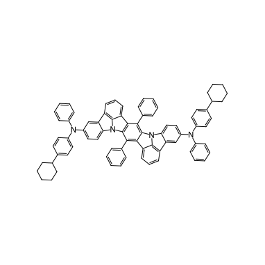 c1ccc(-c2c3c4cccc5c6cc(N(c7ccccc7)c7ccc(C8CCCCC8)cc7)ccc6n(c3c(-c3ccccc3)c3c6cccc7c8cc(N(c9ccccc9)c9ccc(C%10CCCCC%10)cc9)ccc8n(c23)c76)c54)cc1